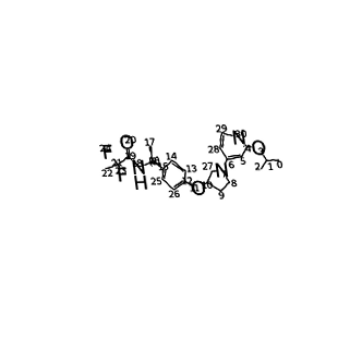 CC(C)Oc1cc(N2CCC(Oc3ccc([C@H](C)NC(=O)C(C)(F)F)cc3)C2)ccn1